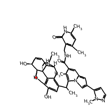 Cc1cc(C)c(CNC(=O)c2cc3cc(-c4ccnn4C)cn3c(C(C)c3cc(O)c4c5c3C[C@@H]3[C@@H]6C=C[C@H](O)[C@H](O4)[C@]56CCN3C)c2C)c(=O)[nH]1